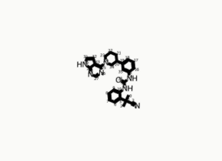 CC(C)(C#N)c1ccccc1NC(=O)Nc1cccc(C2CCCN(c3ncnc4[nH]ccc34)C2)c1